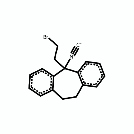 [C-]#[N+]C1(CCBr)c2ccccc2CCc2ccccc21